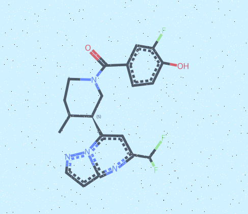 CC1CCN(C(=O)c2ccc(O)c(F)c2)C[C@H]1c1cc(C(F)F)nc2ccnn12